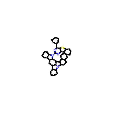 c1ccc(-c2nc(-n3c4ccccc4c4cc5c6ccccc6n6c7ccc8ccccc8c7c(c43)c56)nc3c2sc2ccccc23)cc1